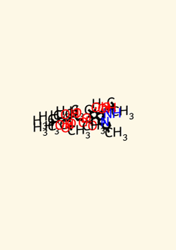 C/C=C(/C)C(=O)Nc1c(O)c2c(O)c(C)c3c(c2c2cc4cc(C)ccn4c12)C(=O)[C@@](C)(O/C=C/C(OC)[C@H](C)C(OC(C)=O)[C@H](C)[C@H](O)[C@H](C)[C@@H](O)C(C)C)O3